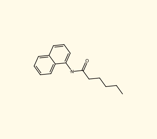 CCCCCC(=O)[N]c1cccc2ccccc12